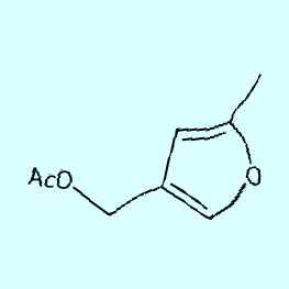 CC(=O)OCc1coc(C)c1